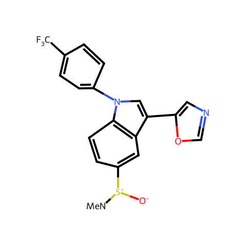 CN[S+]([O-])c1ccc2c(c1)c(-c1cnco1)cn2-c1ccc(C(F)(F)F)cc1